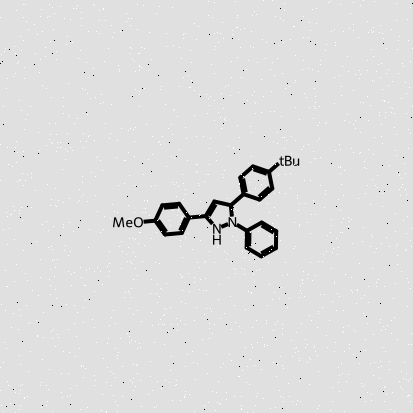 COc1ccc(C2=CC(c3ccc(C(C)(C)C)cc3)N(c3ccccc3)N2)cc1